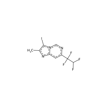 Cc1nc2cc(C(F)(F)C(F)F)ncn2c1I